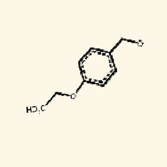 [O]Cc1ccc(OCC(=O)O)cc1